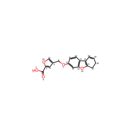 O=C(O)c1cc(COc2ccc3c4c(oc3c2)CCC=C4)co1